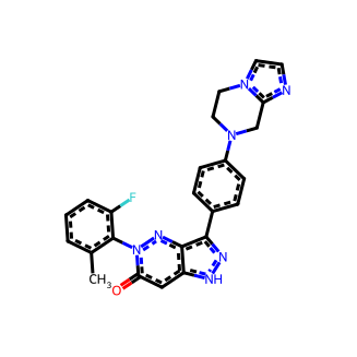 Cc1cccc(F)c1-n1nc2c(-c3ccc(N4CCn5ccnc5C4)cc3)n[nH]c2cc1=O